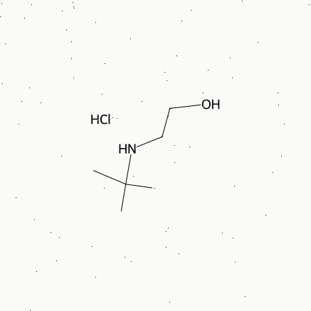 CC(C)(C)NCCO.Cl